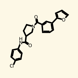 O=C(Nc1ccc(Cl)cc1)C1CCN(C(=O)c2cccc(-c3ccco3)c2)C1